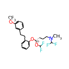 CN(CCC[C@@H](Oc1ccccc1CCc1cccc(OC(F)(F)F)c1)OC(F)F)C(F)F